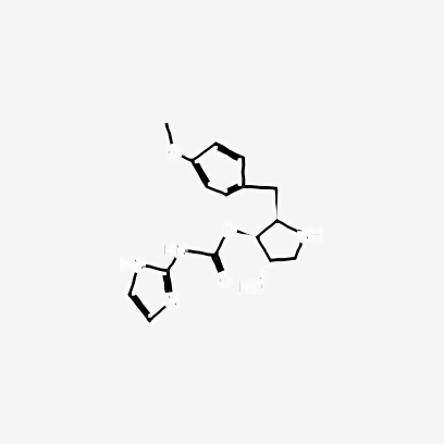 COc1ccc(C[C@H]2NC[C@H](O)[C@H]2OC(=O)Nc2ncc[nH]2)cc1